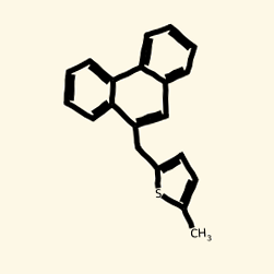 Cc1ccc(Cc2cc3ccccc3c3ccccc23)s1